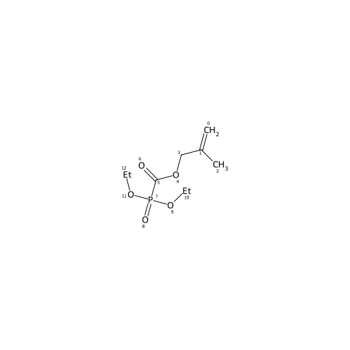 C=C(C)COC(=O)P(=O)(OCC)OCC